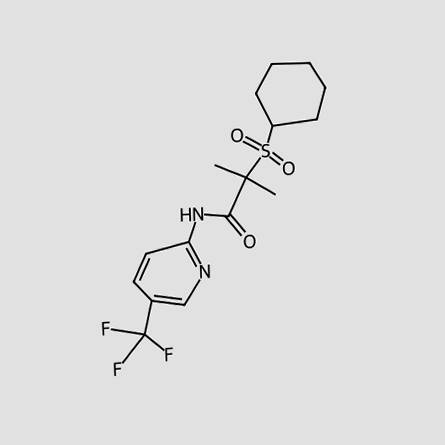 CC(C)(C(=O)Nc1ccc(C(F)(F)F)cn1)S(=O)(=O)C1CCCCC1